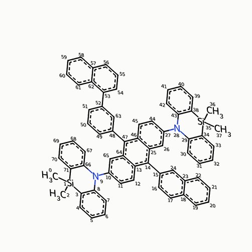 C[Si]1(C)c2ccccc2N(c2ccc3c(-c4ccc5ccccc5c4)c4cc(N5c6ccccc6[Si](C)(C)c6ccccc65)ccc4c(-c4cccc(-c5cccc6ccccc56)c4)c3c2)c2ccccc21